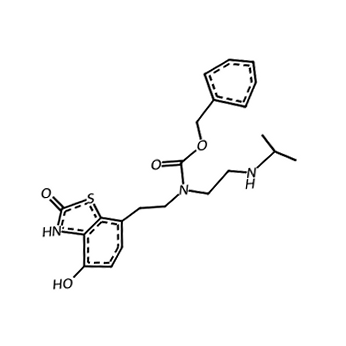 CC(C)NCCN(CCc1ccc(O)c2[nH]c(=O)sc12)C(=O)OCc1ccccc1